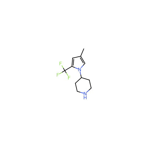 Cc1cc(C(F)(F)F)n(C2CCNCC2)c1